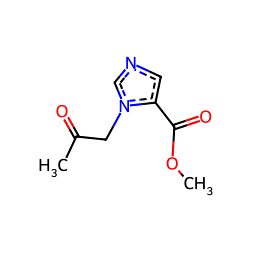 COC(=O)c1cncn1CC(C)=O